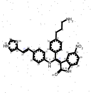 NCCCc1ccc(/C(Nc2ccc(/C=C/c3c[nH]cn3)cc2)=C2/C(=O)Nc3ccc([N+](=O)[O-])cc32)cc1